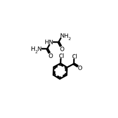 NC(=O)NC(N)=O.O=C(Cl)c1ccccc1Cl